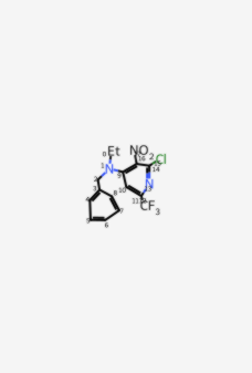 CCN(Cc1ccccc1)c1cc(C(F)(F)F)nc(Cl)c1[N+](=O)[O-]